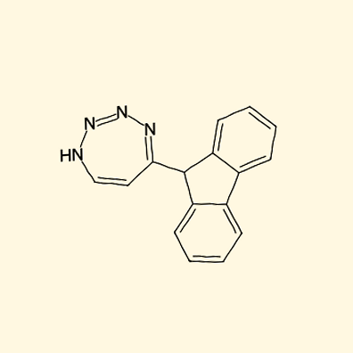 C1=CC(C2c3ccccc3-c3ccccc32)=NN=NN1